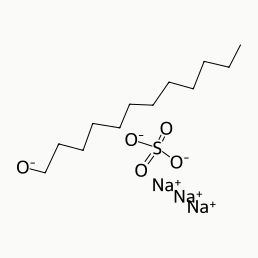 CCCCCCCCCCCC[O-].O=S(=O)([O-])[O-].[Na+].[Na+].[Na+]